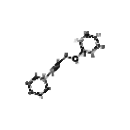 C(#Cc1ccccc1)COc1ccccc1